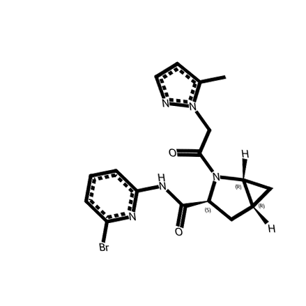 Cc1ccnn1CC(=O)N1[C@@H]2C[C@@H]2C[C@H]1C(=O)Nc1cccc(Br)n1